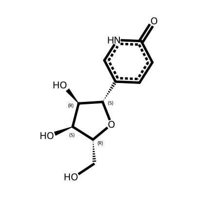 O=c1ccc([C@@H]2O[C@H](CO)[C@@H](O)[C@H]2O)c[nH]1